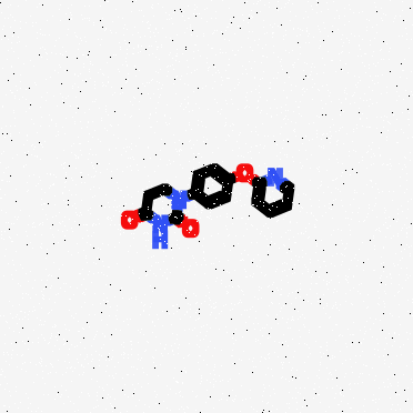 O=C1CCN(c2ccc(Oc3ccccn3)cc2)C(=O)N1